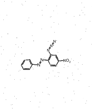 [N-]=[N+]=Nc1cc([N+](=O)[O-])ccc1N=Nc1ccccc1